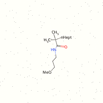 CCCCCCCC(C)(C)C(=O)NCCCOC